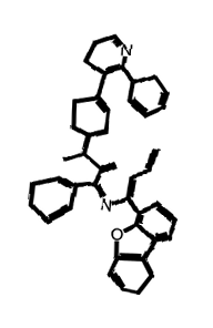 C=C/C=C(/N=C(\C(=C)C(C)C1CC=C(C2=C(C3C=CC=CC3)N=CCC2)CC1)C1=CCCC=C1)c1cccc2c3c(oc12)C=CCC3